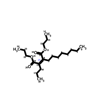 CCCCCCCC/C(C(=O)OCCC)=C(\CCC)C(=O)OCCC